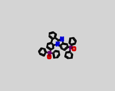 O=P(c1ccccc1)(c1ccccc1)c1ccc2c(c1)nc1c3ccccc3c3ccc(P(=O)(c4ccccc4)c4ccccc4)cc3n21